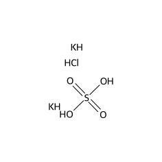 Cl.O=S(=O)(O)O.[KH].[KH]